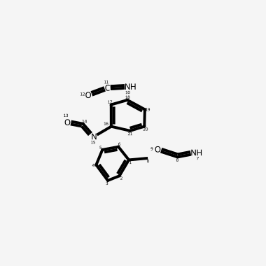 Cc1ccccc1.N=C=O.N=C=O.O=C=Nc1ccccc1